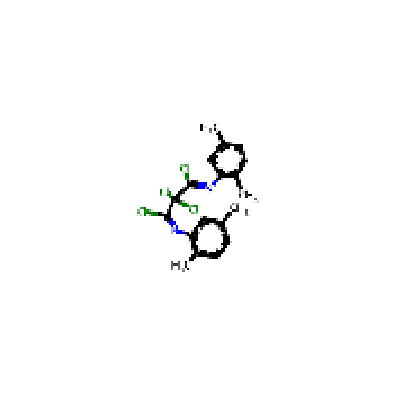 Cc1ccc(C)c(/N=C(\Cl)C(Cl)(Cl)/C(Cl)=N\c2cc(C)ccc2C)c1